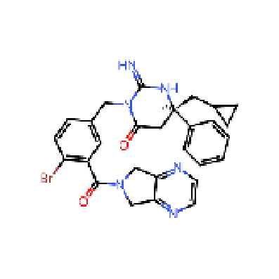 N=C1N[C@](CC2CC2)(c2ccccc2)CC(=O)N1Cc1ccc(Br)c(C(=O)N2Cc3nccnc3C2)c1